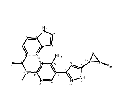 C[C@@H](c1ccc2[nH]ccc2n1)N(C)c1ncc(-c2cc([C@H]3C[C@H]3F)[nH]n2)c(N)n1